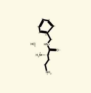 Cl.NCC[C@H](N)C(=O)NCc1ccccc1